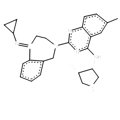 Cc1ccc2nc(N3CCS(=NC4CC4)c4ccccc4C3)nc(N[C@@H]3CNC[C@@H]3O)c2c1